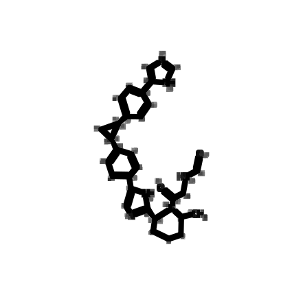 CC1CCC[C@@H](c2ncc(-c3ccc([C@H]4C[C@H]4c4ccc(-c5cnc[nH]5)cc4)cc3)[nH]2)N1C(=O)CNC=O